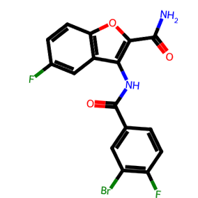 NC(=O)c1oc2ccc(F)cc2c1NC(=O)c1ccc(F)c(Br)c1